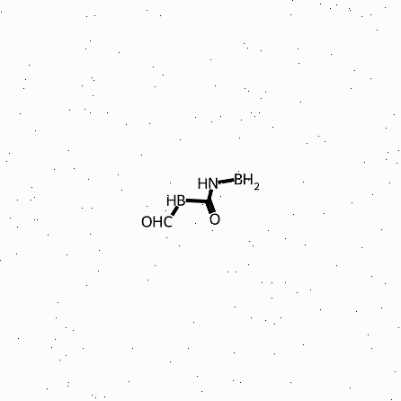 BNC(=O)BC=O